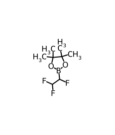 CC1(C)OB(C(F)C(F)F)OC1(C)C